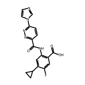 O=C(Nc1cc(C2CC2)c(F)cc1C(=O)O)c1ccc(-n2ccnc2)nn1